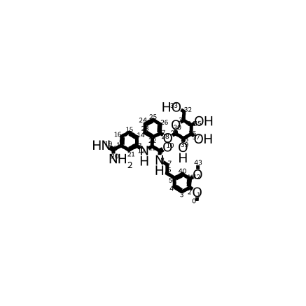 COc1ccc(CCNC(=O)C(Nc2cccc(C(=N)N)c2)c2ccccc2OC2OC(CO)C(O)C(O)C2O)cc1OC